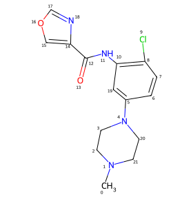 CN1CCN(c2ccc(Cl)c(NC(=O)c3cocn3)c2)CC1